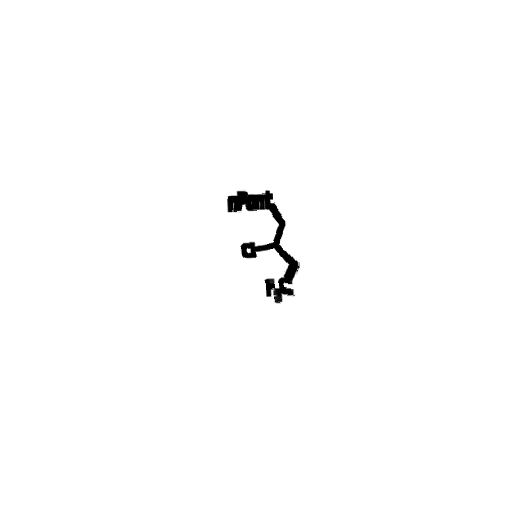 CCCCCCC(Cl)CC(F)(F)F